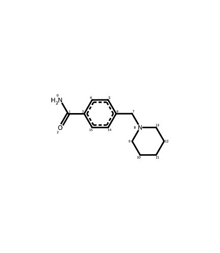 NC(=O)c1ccc(CN2CCCCC2)cc1